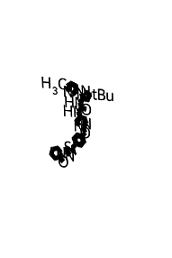 Cc1ccc(-n2nc(C(C)(C)C)cc2NC(=O)Nc2cnc(Oc3ccc(-c4cnc(N5CCCCC5=O)s4)cc3)nc2)cn1